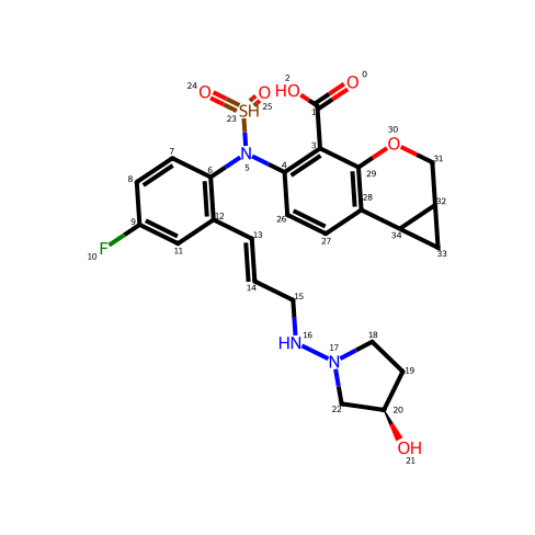 O=C(O)c1c(N(c2ccc(F)cc2C=CCNN2CC[C@@H](O)C2)[SH](=O)=O)ccc2c1OCC1CC21